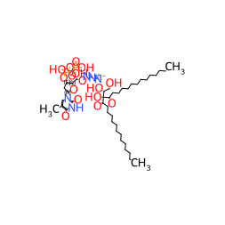 CCCCCCCCCCCCCC(=O)C(O)(C(=O)CCCCCCCCCCCCC)C(O)CO.Cc1cn([C@H]2C[C@H](OP(=O)(O)OP(=O)(O)O)[C@@H](CON=[N+]=[N-])O2)c(=O)[nH]c1=O